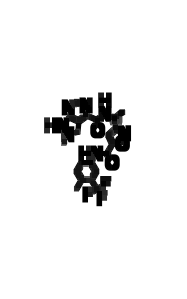 Cc1ccc(NC(=O)c2cc([C@H](C)NC(=O)c3ncnc4c3CN(C)N4)no2)cc1C(F)(F)F